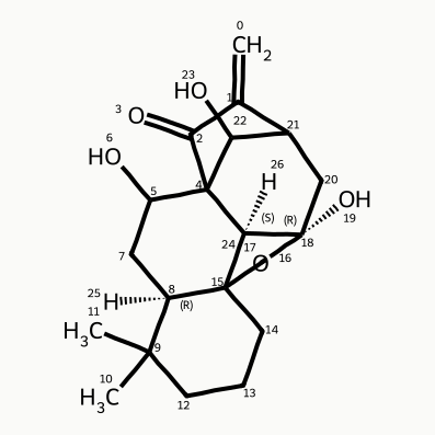 C=C1C(=O)C23C(O)C[C@@H]4C(C)(C)CCCC45CO[C@](O)(CC1C2O)[C@H]35